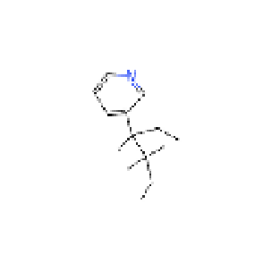 CCC(C)(C)C(C)(CC)c1cccnc1